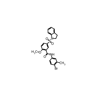 COc1ccc(S(=O)(=O)N2CCc3ccccc32)cc1C(=O)Nc1ccc(Br)c(C)c1